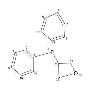 c1ccc(P(c2ccccc2)C2COC2)cc1